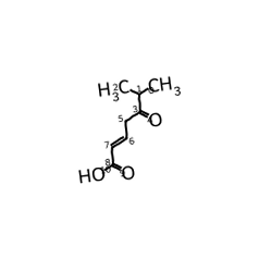 CC(C)C(=O)C/C=C/C(=O)O